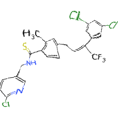 Cc1cc(CC=C(c2cc(Cl)cc(Cl)c2)C(F)(F)F)ccc1C(=S)NCc1ccc(Cl)nc1